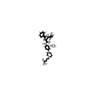 Cl.O=C(O)CCCN1CCCN(c2ccc(NC(=O)c3nc(-c4ccccc4)oc3C(F)(F)F)cc2)CC1